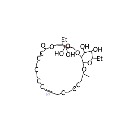 CCC1OC2OC(C)CCCCCC/C=C\CCCCCCCC(=O)OC3C(CC)OC(OC2C(O)C1O)C(O)C3O